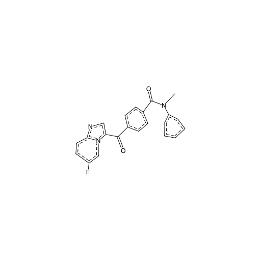 CN(C(=O)c1ccc(C(=O)c2cnc3ccc(F)cn23)cc1)c1ccccc1